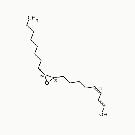 CCCCCCCC[C@@H]1O[C@@H]1CCCC/C=C\C=CO